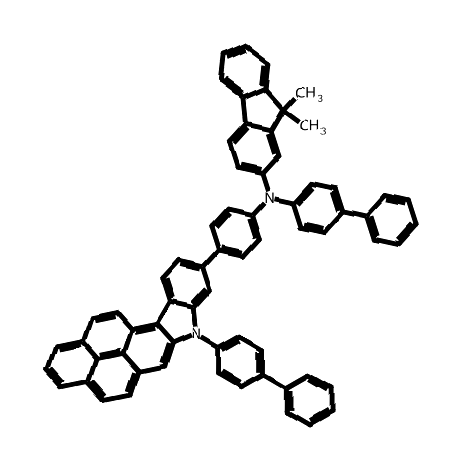 CC1(C)c2ccccc2-c2ccc(N(c3ccc(-c4ccccc4)cc3)c3ccc(-c4ccc5c6c7ccc8cccc9ccc(cc6n(-c6ccc(-c%10ccccc%10)cc6)c5c4)c7c98)cc3)cc21